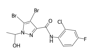 CC(O)n1nc(C(=O)Nc2ccc(F)cc2Cl)c(Br)c1Br